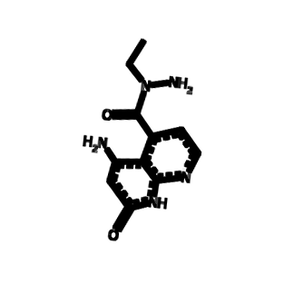 CCN(N)C(=O)c1ccnc2[nH]c(=O)cc(N)c12